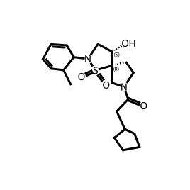 CC1C=CC=CC1N1C[C@H](O)[C@]2(CCN(C(=O)CC3CCCC3)C2)S1(=O)=O